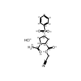 Cl.N#CCOC(=O)[C@@H]1C[C@@H](S(=O)(=O)c2ccccc2)CN1C(N)=O